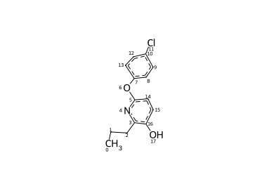 CCCc1nc(Oc2ccc(Cl)cc2)ccc1O